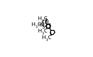 CCCc1ccc(C2C=C(C)CCC2)c(C)c1SN(C)C